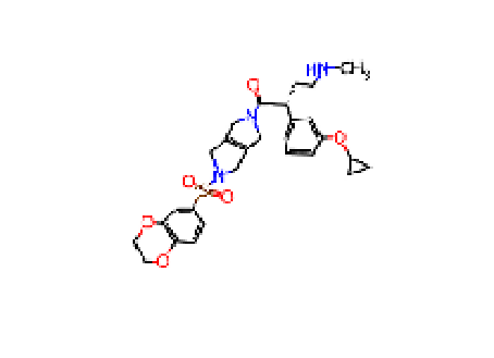 CNCC[C@@H](C(=O)N1CC2=C(C1)CN(S(=O)(=O)c1ccc3c(c1)OCCO3)C2)c1cccc(OC2CC2)c1